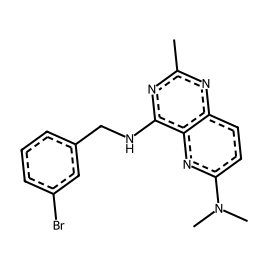 Cc1nc(NCc2cccc(Br)c2)c2nc(N(C)C)ccc2n1